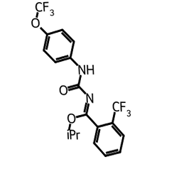 CC(C)OC(=NC(=O)Nc1ccc(OC(F)(F)F)cc1)c1ccccc1C(F)(F)F